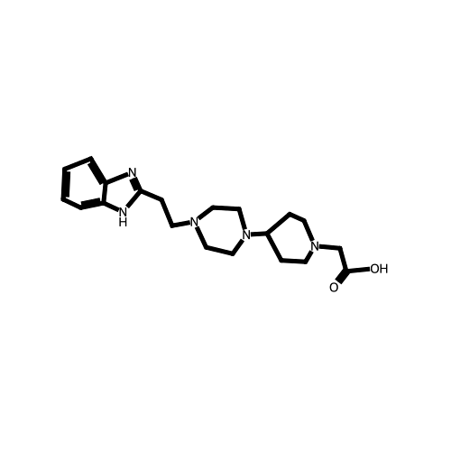 O=C(O)CN1CCC(N2CCN(CCc3nc4ccccc4[nH]3)CC2)CC1